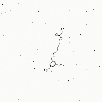 CC(=O)CC(=O)OCCCCCCSc1nc(C)cc(C)n1